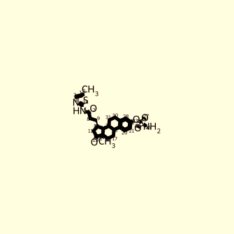 Cc1cnc(NC(=O)CC[C@@H]2CC(=O)[C@@]3(C)CCC4c5ccc(OS(N)(=O)=O)cc5CCC4C23)s1